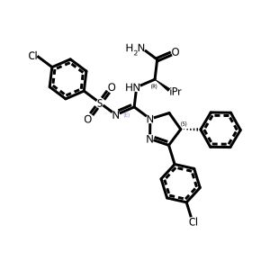 CC(C)[C@@H](N/C(=N\S(=O)(=O)c1ccc(Cl)cc1)N1C[C@H](c2ccccc2)C(c2ccc(Cl)cc2)=N1)C(N)=O